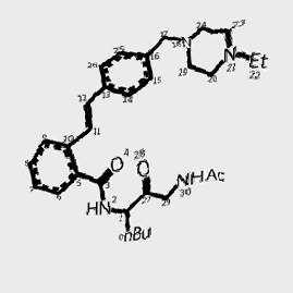 CCCCC(NC(=O)c1ccccc1C=Cc1ccc(CN2CCN(CC)CC2)cc1)C(=O)CNC(C)=O